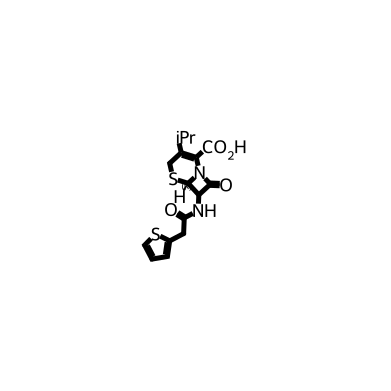 CC(C)C1=C(C(=O)O)N2C(=O)C(NC(=O)Cc3cccs3)[C@H]2SC1